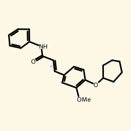 COc1cc(/C=C/C(=O)Nc2ccccc2)ccc1OC1CCCCC1